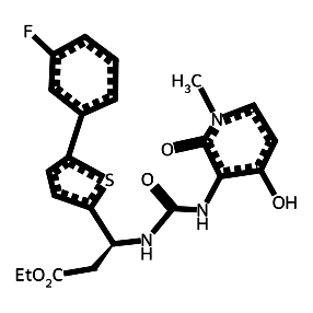 CCOC(=O)C[C@H](NC(=O)Nc1c(O)ccn(C)c1=O)c1ccc(-c2cccc(F)c2)s1